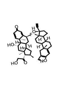 C#C[C@]1(O)CC[C@H]2[C@@H]3CCC4=Cc5oncc5C[C@]4(C)[C@H]3CC[C@@]21C.C[C@@H]1C[C@H]2[C@@H]3C[C@H](F)C4=CC(=O)C=C[C@]4(C)[C@H]3[C@@H](O)C[C@]2(C)[C@H]1C(=O)CO